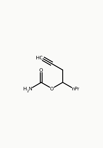 C#CCC(CCC)OC(N)=O